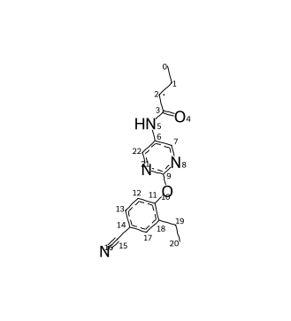 CC[CH]C(=O)Nc1cnc(Oc2ccc(C#N)cc2CC)nc1